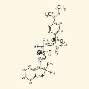 CCC(C)c1ccc(S(=O)(=O)C(F)(F)C(F)(F)C(F)(F)S(=O)(=O)O/N=C(/c2ccccc2)C(F)(F)F)cc1